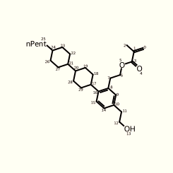 C=C(C)C(=O)OCCc1cc(CCO)ccc1C1CCC(C2CCC(CCCCC)CC2)CC1